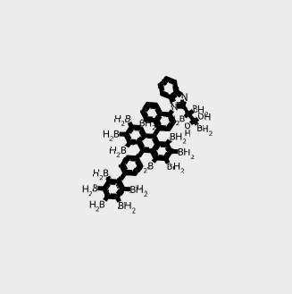 Bc1c(B)c(B)c(-c2ccc(-c3c4c(B)c(B)c(B)c(B)c4c(-c4ccc(-n5c(C(B)(B)C(B)(O)O)nc6ccccc65)c5ccccc45)c4c(B)c(B)c(B)c(B)c34)cc2)c(B)c1B